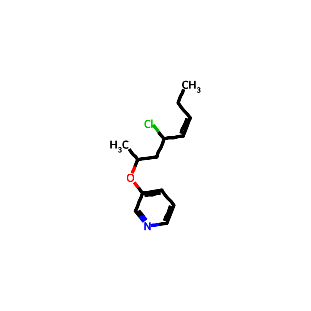 CC/C=C\C(Cl)CC(C)Oc1cccnc1